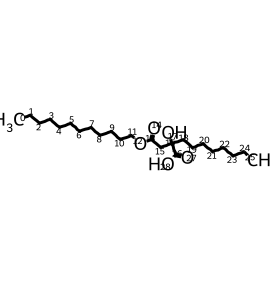 CCCCCCCCCCCCOC(=O)CC(O)(CCCCCCCC)C(=O)O